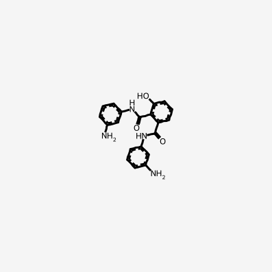 Nc1cccc(NC(=O)c2cccc(O)c2C(=O)Nc2cccc(N)c2)c1